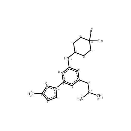 Cc1ccn(-c2cc(CN(C)C)cc(NC3CCC(F)(F)CC3)n2)n1